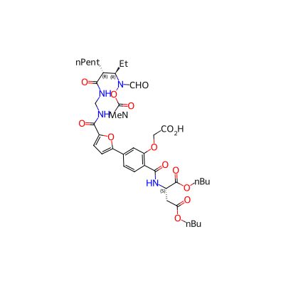 CCCCC[C@@H](C(=O)NCNC(=O)c1ccc(-c2ccc(C(=O)N[C@@H](CC(=O)OCCCC)C(=O)OCCCC)c(OCC(=O)O)c2)o1)[C@@H](CC)N(C=O)OC(=O)NC